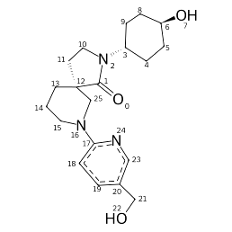 O=C1N([C@H]2CC[C@H](O)CC2)CC[C@]12CCCN(c1ccc(CO)cn1)C2